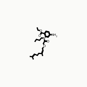 CCCCN(C(=O)COCC=C(C)CCC=C(C)C)c1cc(N)ccc1C(=O)OCC